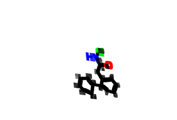 O=C(Cc1ccccc1-c1ccccc1)NCl